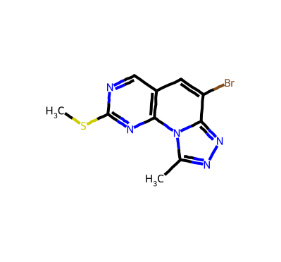 CSc1ncc2cc(Br)c3nnc(C)n3c2n1